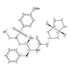 COc1ccc(S(=O)(=O)N(CC(C)C)C[C@@H](O)[C@H](Cc2ccccc2)NC(=O)O[C@@H]2C[C@@H]3OCO[C@@H]3C2)cc1